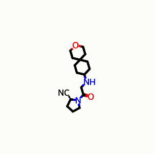 N#C[C@@H]1CCCN1C(=O)CNC1CCC2(CCOCC2)CC1